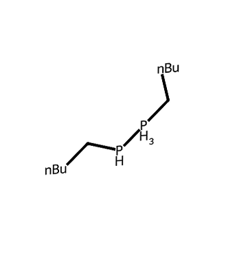 CCCCCP[PH3]CCCCC